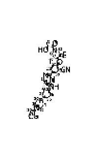 C[C@H](O)C(=O)N1CC[C@H](Oc2c(F)cc(-c3ncnc(Nc4ccc(N5CCN(C6COC6)CC5)cc4)n3)cc2C#N)[C@@H](F)C1